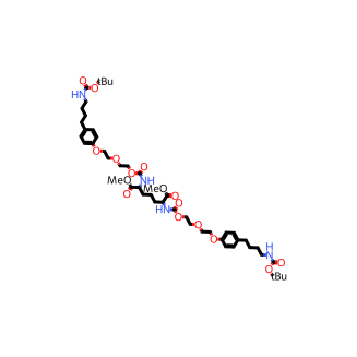 COC(=O)C(CCCC(NC(=O)OCCOCCOc1ccc(CCCCNC(=O)OC(C)(C)C)cc1)C(=O)OC)NC(=O)OCCOCCOc1ccc(CCCCNC(=O)OC(C)(C)C)cc1